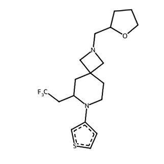 FC(F)(F)CC1CC2(CCN1c1ccsc1)CN(CC1CCCO1)C2